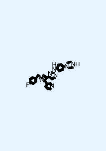 Fc1ccc(Cn2cc(-c3ccnc(Nc4ccc(N5CCNCC5)cc4)n3)c(-c3cccnc3)n2)cc1